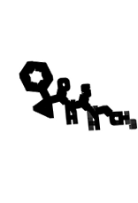 CCNC(=S)NC(=O)C1(c2ccccc2)CC1